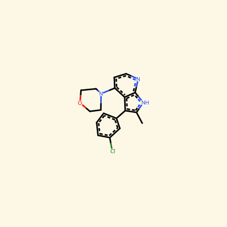 Cc1[nH]c2nccc(N3CCOCC3)c2c1-c1cccc(Cl)c1